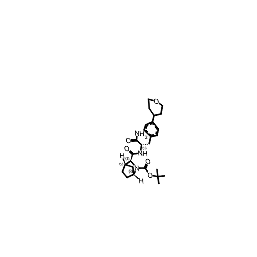 CC(C)(C)OC(=O)N1[C@@H]2CC[C@@H](C2)[C@H]1C(=O)N[C@@H](Cc1ccc(C2CCOCC2)cc1)C(N)=O